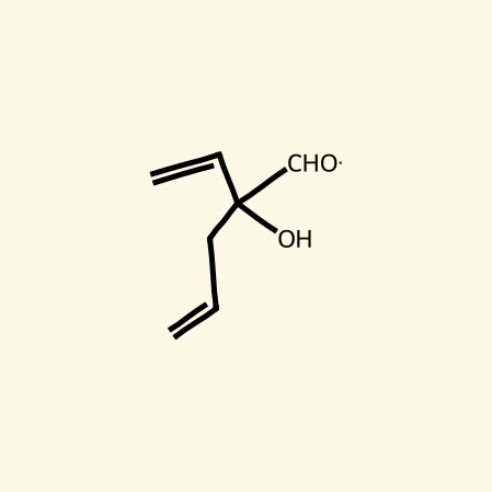 C=CCC(O)([C]=O)C=C